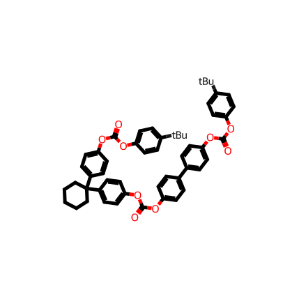 CC(C)(C)c1ccc(OC(=O)Oc2ccc(-c3ccc(OC(=O)Oc4ccc(C5(c6ccc(OC(=O)Oc7ccc(C(C)(C)C)cc7)cc6)CCCCC5)cc4)cc3)cc2)cc1